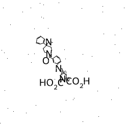 CN(C[C@H]1C[C@@H](C(=O)O)N(C(=O)O)C1)c1cccc(C(=O)N2CCC(c3ccccc3)(N(C)C)CC2)c1